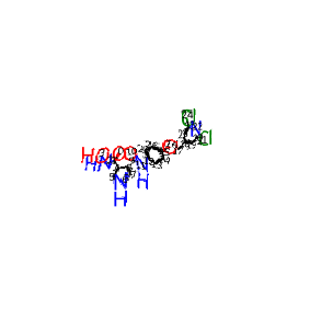 O=C(NO)[C@@H]1CNC[C@H]1C(=O)Nc1ccc(OCc2cc(Cl)nc(Cl)c2)cc1